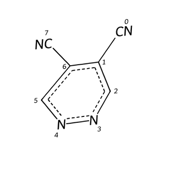 N#Cc1cnncc1C#N